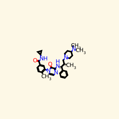 Cc1ccc(C(=O)NC2CC2)cc1-n1ccnc(N[C@@H](c2ccccc2)[C@H](C)CN2CCC(N(C)C)CC2)c1=O